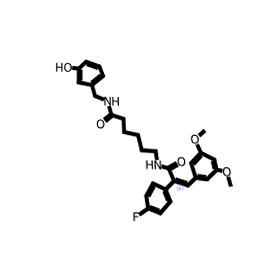 COc1cc(/C=C(\C(=O)NCCCCCC(=O)NCc2cccc(O)c2)c2ccc(F)cc2)cc(OC)c1